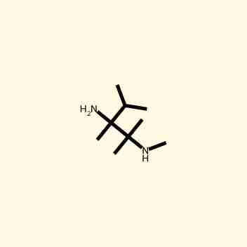 CNC(C)(C)C(C)(N)C(C)C